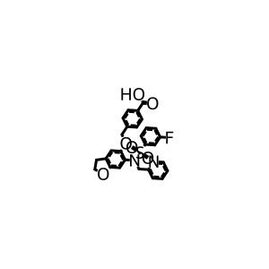 O=C(O)c1ccc(COc2cc3c(cc2N(Cc2ccccn2)S(=O)(=O)c2cccc(F)c2)OCC3)cc1